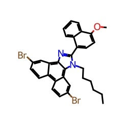 CCCCCCn1c(-c2ccc(OC)c3ccccc23)nc2c3cc(Br)ccc3c3ccc(Br)cc3c21